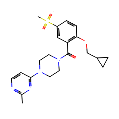 CS(=O)(=O)c1ccc(OCC2CC2)c(C(=O)N2CCN(c3ccnc(C(F)(F)F)n3)CC2)c1